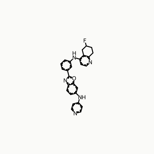 FC1CCc2nccc(Nc3cccc(-c4nc5ccc(Nc6ccncc6)cc5o4)c3)c2C1